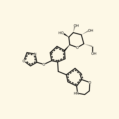 OC[C@@H]1O[C@@H](c2ccc(Oc3cocn3)c(Cc3ccc4c(c3)NCCO4)c2)[C@@H](O)[C@H](O)[C@@H]1O